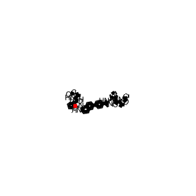 COC(=O)N[C@H](C(=O)N1C[Si](C)(C)C[C@H]1c1ncc(-c2ccc(-c3ccc4c(ccc5nc([C@@H]6[C@H]7CC[C@H](C7)N6C(=O)[C@@H](NC(=O)OC)C(C)C)[nH]c54)c3)cc2)[nH]1)C(C)C